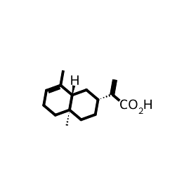 C=C(C(=O)O)[C@@H]1CC[C@@]2(C)CCC=C(C)[C@@H]2C1